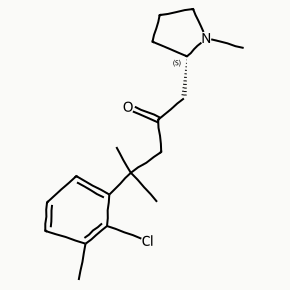 Cc1cccc(C(C)(C)CC(=O)C[C@@H]2CCCN2C)c1Cl